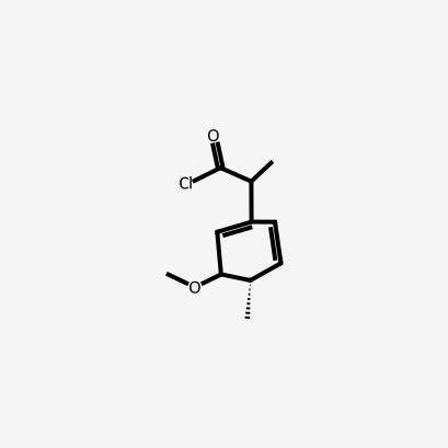 COC1C=C(C(C)C(=O)Cl)C=C[C@@H]1C